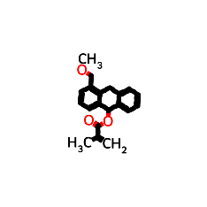 C=C(C)C(=O)OC1c2ccccc2Cc2c(COC)cccc21